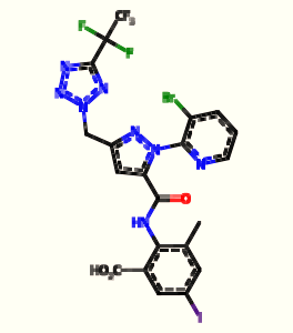 Cc1cc(I)cc(C(=O)O)c1NC(=O)c1cc(Cn2nnc(C(F)(F)C(F)(F)F)n2)nn1-c1ncccc1Br